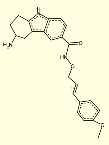 COc1ccc(/C=C/CONC(=O)c2ccc3[nH]c4c(c3c2)CC(N)CC4)cc1